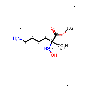 CC(C)(C)OC(=O)[C@@](CCCCN)(NO)C(=O)O